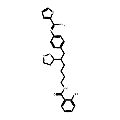 NC(=Nc1ccc(CC(CCCCNC(=O)c2ccccc2O)C2CCSS2)cc1)c1cccs1